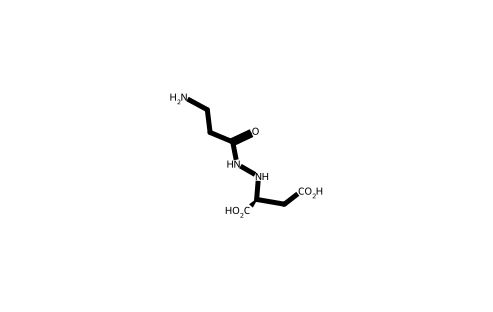 NCCC(=O)NN[C@@H](CC(=O)O)C(=O)O